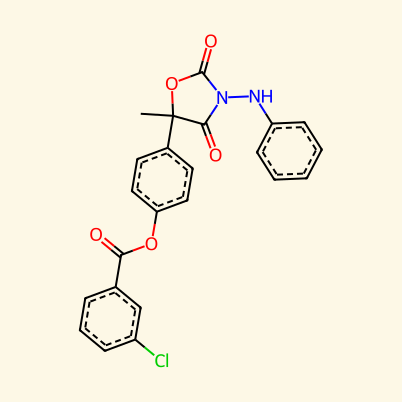 CC1(c2ccc(OC(=O)c3cccc(Cl)c3)cc2)OC(=O)N(Nc2ccccc2)C1=O